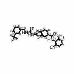 Cc1cccc(Cl)c1NC(=O)c1ccc2nc(NC(=O)NCc3cccc(C(F)(F)F)c3)sc2c1